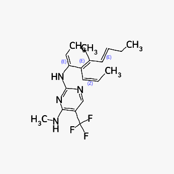 C\C=C/C(C(=C\C)/Nc1ncc(C(F)(F)F)c(NC)n1)=C(C)\C=C\CC